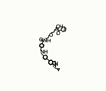 CN(CCCOCCCNC(=O)c1ccc(CNCc2ccc(-c3ccc4c(cnn4CC4CC4)c3)cc2)cc1)C(=O)C1CCCCC1